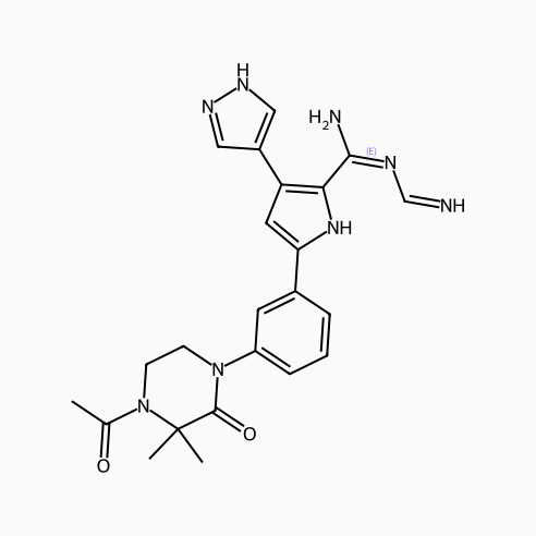 CC(=O)N1CCN(c2cccc(-c3cc(-c4cn[nH]c4)c(/C(N)=N\C=N)[nH]3)c2)C(=O)C1(C)C